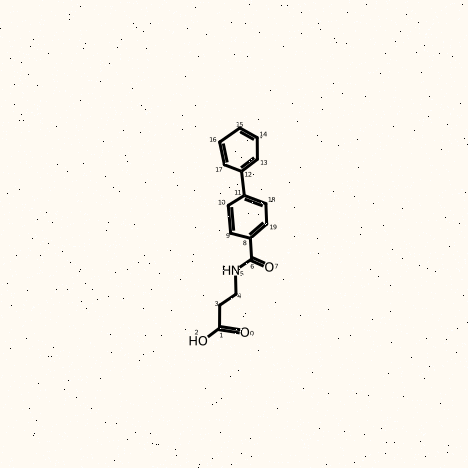 O=C(O)CCNC(=O)c1ccc(-c2c[c]ccc2)cc1